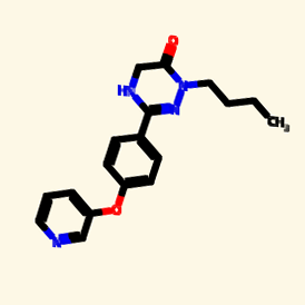 CCCCN1N=C(c2ccc(Oc3cccnc3)cc2)NCC1=O